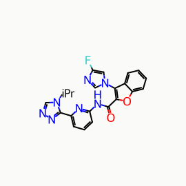 CC(C)n1cnnc1-c1cccc(NC(=O)c2oc3ccccc3c2-n2cnc(F)c2)n1